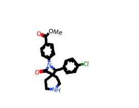 COC(=O)c1ccc(N2C(=O)C3(CCNCC3)C2c2ccc(Cl)cc2)cc1